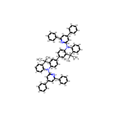 CC1(C)c2ccccc2N(c2cc(-c3ccccc3)cc(-c3ccccc3)n2)c2ccc(-c3ccc4c(c3)C(C)(C)c3ccccc3N4c3cc(-c4ccccc4)cc(-c4ccccc4)n3)cc21